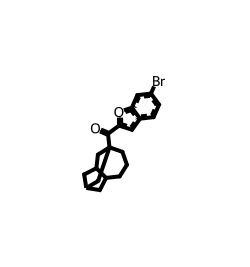 O=C(c1cc2ccc(Br)cc2o1)C12CCCC3CC(CC3C1)C2